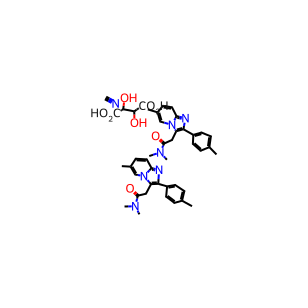 C#N.Cc1ccc(-c2nc3ccc(C)cn3c2CC(=O)N(C)C)cc1.Cc1ccc(-c2nc3ccc(C)cn3c2CC(=O)N(C)C)cc1.O=C(O)C(O)C(O)C(=O)O